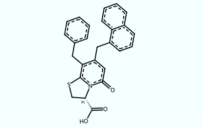 O=C(O)[C@@H]1CSc2c(Cc3ccccc3)c(Cc3cccc4ccccc34)cc(=O)n21